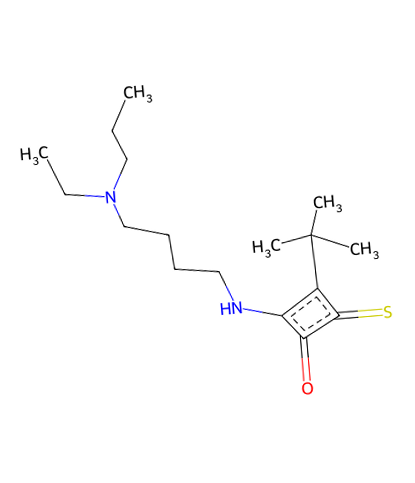 CCCN(CC)CCCCNc1c(C(C)(C)C)c(=S)c1=O